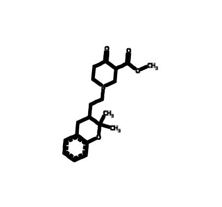 COC(=O)C1CN(CCC2Cc3ccccc3OC2(C)C)CCC1=O